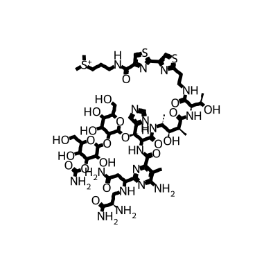 Cc1c(N)nc(C(CC(N)=O)NC[C@H](N)C(N)=O)nc1C(=O)NC(C(=O)N[C@H](C)[C@@H](O)[C@H](C)C(=O)N[C@H](C(=O)NCCc1nc(-c2nc(C(=O)NCCC[S+](C)C)cs2)cs1)[C@@H](C)O)[C@@H](OC1OC(CO)C(O)C(O)C1OC1OC(CO)C(O)C(OC(N)=O)C1O)c1cnc[nH]1